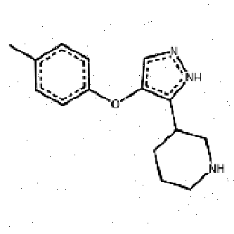 Cc1ccc(Oc2cn[nH]c2C2CCCNC2)cc1